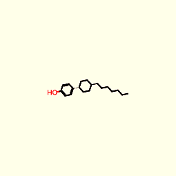 CCCCCCC[C@H]1CC[C@H](c2ccc(O)cc2)CC1